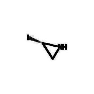 I[C@H]1CN1